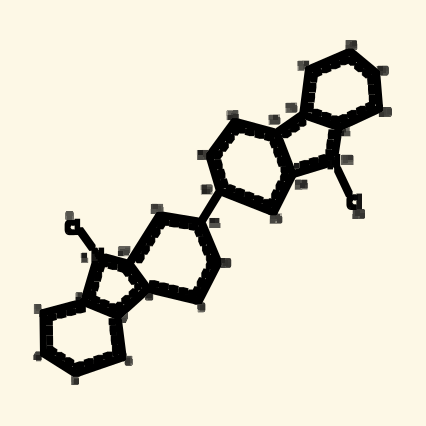 Cln1c2ccccc2c2ccc(-c3ccc4c5ccccc5n(Cl)c4c3)cc21